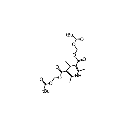 CC1=C(C(=O)OCOC(=O)C(C)(C)C)C(C)C(C(=O)OCOC(=O)C(C)(C)C)=C(C)N1